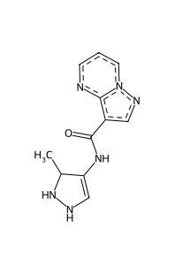 CC1NNC=C1NC(=O)c1cnn2cccnc12